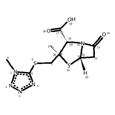 Cn1nnnc1SC[C@]1(C)S[C@H]2CC(=O)N2[C@H]1C(=O)O